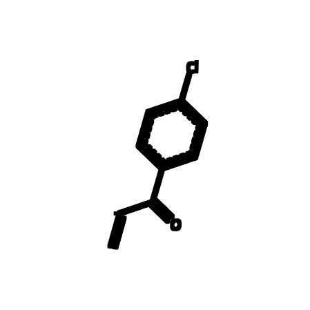 C=[C]C(=O)c1ccc(Cl)cc1